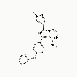 Cn1cc(-c2nc(-c3ccc(Oc4ccccc4)cc3)c3c(N)nccn23)cn1